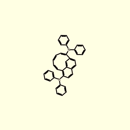 c1ccc(N(c2ccccc2)c2cccccc3c(N(c4ccccc4)c4ccccc4)ccc4ccc2cc43)cc1